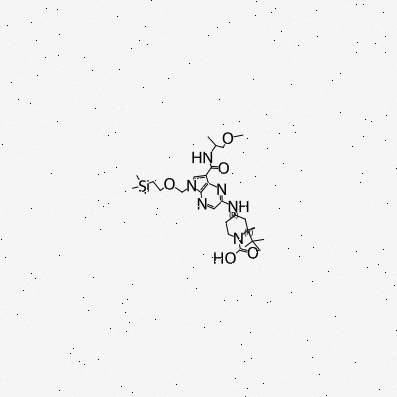 COCC(C)NC(=O)c1cn(COCC[Si](C)(C)C)c2ncc(N[C@@H]3CCN(C(=O)O)[C@@](C)(C(C)(C)C)C3)nc12